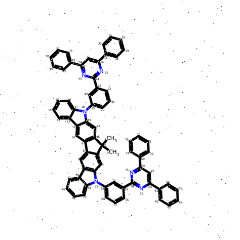 CC1(C)c2cc3c(cc2-c2cc4c5ccccc5n(-c5cccc(-c6nc(-c7ccccc7)cc(-c7ccccc7)n6)c5)c4cc21)c1ccccc1n3-c1cccc(-c2nc(-c3ccccc3)cc(-c3ccccc3)n2)c1